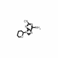 [C-]#[N+]c1nc(N)c2ncn(C3CCCCO3)c2n1